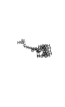 CCC(O)CCC/C=C\CCCCCCCC(=O)NCCc1c[nH]c2ccc(O[C@H]3OC(CO[C@H]4OC(CO)[C@@H](O)[C@H](O)C4O)[C@@H](O)[C@H](O)C3O)cc12